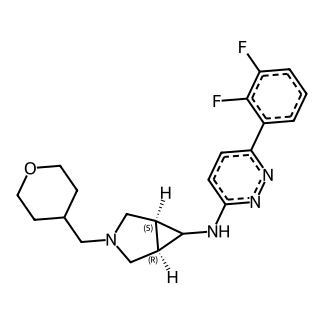 Fc1cccc(-c2ccc(NC3[C@H]4CN(CC5CCOCC5)C[C@@H]34)nn2)c1F